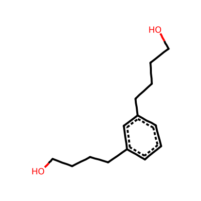 OCCCCc1cccc(CCCCO)c1